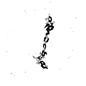 CCc1cc(Nc2ncc(Br)c(Nc3ccc4nc(C)ccc4c3P(C)(C)=O)n2)c(OC)cc1N1CCC(N2CCN(CCc3ccc4c(c3)C3(CC3)N(C3CCC(=O)NC3=O)C4=O)CC2)CC1